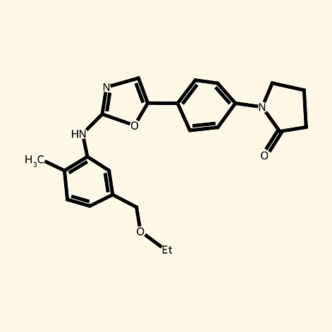 CCOCc1ccc(C)c(Nc2ncc(-c3ccc(N4CCCC4=O)cc3)o2)c1